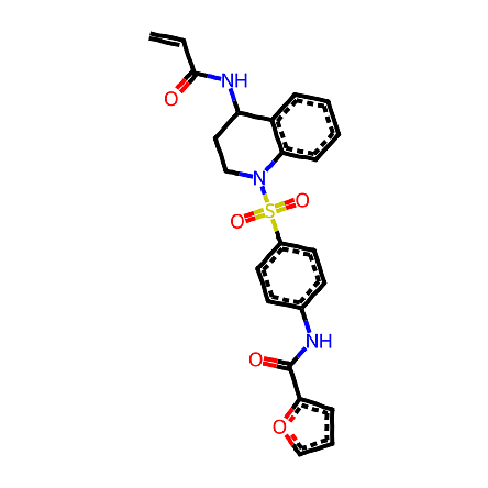 C=CC(=O)NC1CCN(S(=O)(=O)c2ccc(NC(=O)c3ccco3)cc2)c2ccccc21